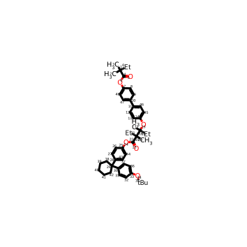 CCC(C)(C)C(=O)Oc1ccc(-c2ccc(OC(C)(CC)C(C)(CC)C(=O)Oc3ccc(C4(c5ccc(OC(C)(C)C)cc5)CCCCC4)cc3)cc2)cc1